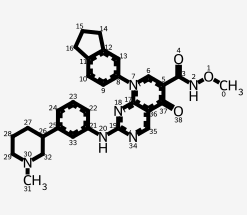 CONC(=O)c1cn(-c2ccc3c(c2)CCC3)c2nc(Nc3cccc(C4CCCN(C)C4)c3)ncc2c1=O